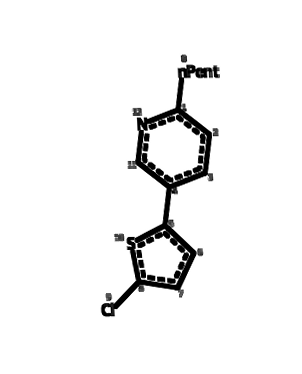 CCCCCc1ccc(-c2ccc(Cl)s2)cn1